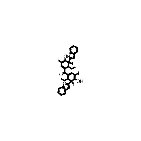 CCC1C(C(=O)C2=CC(I)=C(O)C(I)(c3cc4ccccc4o3)C2CC)=CC(I)=C(O)C1(I)c1cc2ccccc2o1